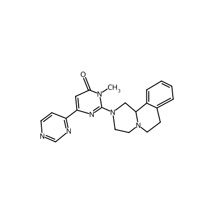 Cn1c(N2CCN3CCc4ccccc4C3C2)nc(-c2ccncn2)cc1=O